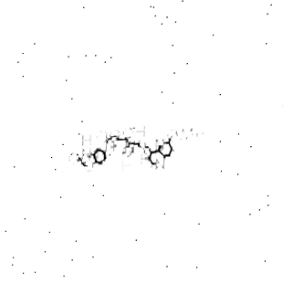 COc1ccc2ncc(F)c(CNC[C@@H](O)[C@H](O)[C@H]3CN(c4ccc5c(c4)NC(=O)CO5)C(=O)O3)c2n1